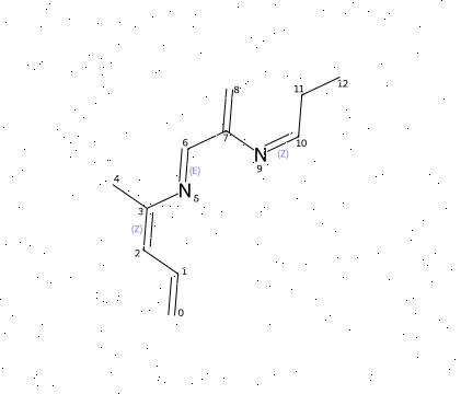 C=C/C=C(C)\N=C\C(=C)/N=C\CC